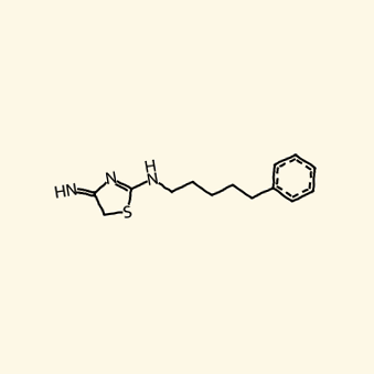 N=C1CSC(NCCCCCc2ccccc2)=N1